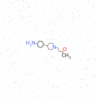 CC(=O)CCN1CCC(c2ccc(N)cc2)CC1